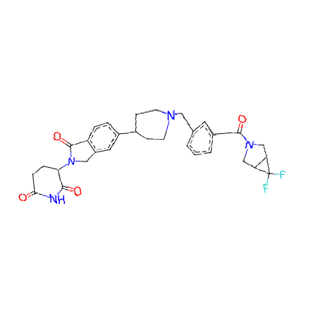 O=C1CCC(N2Cc3cc(C4CCN(Cc5cccc(C(=O)N6CC7C(C6)C7(F)F)c5)CC4)ccc3C2=O)C(=O)N1